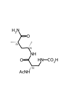 CC(=O)N[C@@H](CNC(=O)O)C(=O)N[C@@H](C)C[C@H](C)C(N)=O